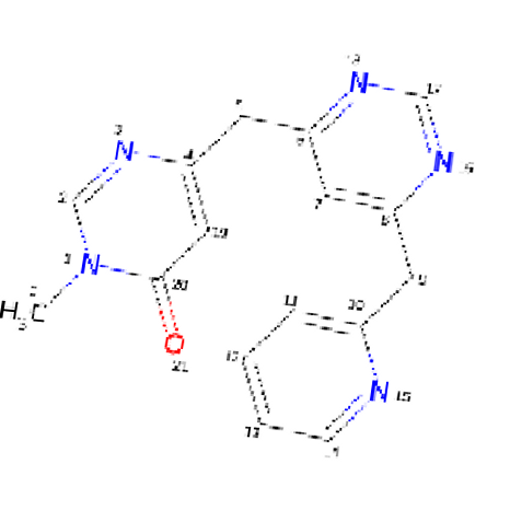 Cn1cnc(Cc2cc(Cc3ccccn3)ncn2)cc1=O